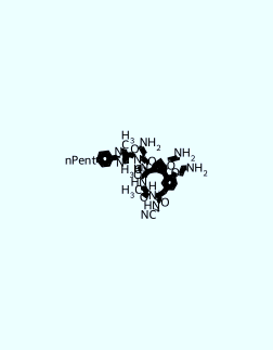 CCCCCc1ccc(-c2ncc(C(=O)N[C@@H](CCN)C(=O)N(C)[C@@H]3C(=O)N[C@@H](C)C(=O)N[C@H](C(=O)NCC#N)Cc4ccc(OCCN)c(c4)-c4cc3ccc4OCCN)c(C)n2)cc1